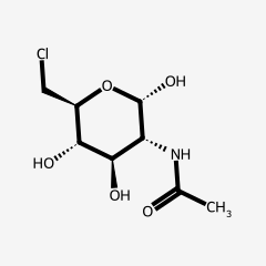 CC(=O)N[C@@H]1[C@@H](O)[C@H](O)[C@@H](CCl)O[C@@H]1O